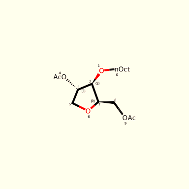 CCCCCCCCO[C@@H]1[C@@H](OC(C)=O)CO[C@@H]1COC(C)=O